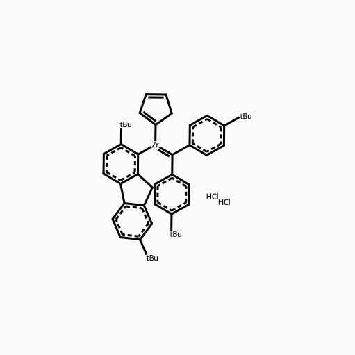 CC(C)(C)c1ccc([C](c2ccc(C(C)(C)C)cc2)=[Zr]([C]2=CC=CC2)[c]2c(C(C)(C)C)ccc3c2Cc2cc(C(C)(C)C)ccc2-3)cc1.Cl.Cl